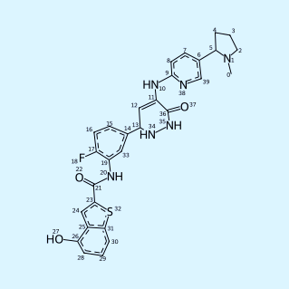 CN1CCCC1c1ccc(NC2=CC(c3ccc(F)c(NC(=O)c4cc5c(O)cccc5s4)c3)NNC2=O)nc1